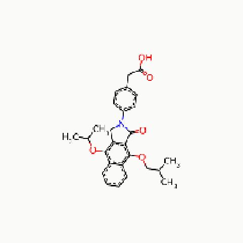 CC(C)COc1c2c(c(OC(C)C)c3ccccc13)CN(c1ccc(CC(=O)O)cc1)C2=O